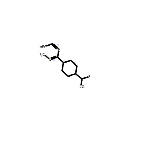 CCC/C=N\C(=N/C)C1CCC(C(F)C#N)CC1